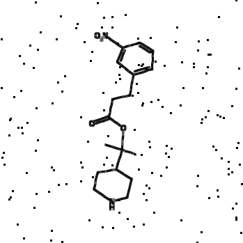 CC(C)(OC(=O)CCc1cccc([N+](=O)[O-])c1)C1CCNCC1